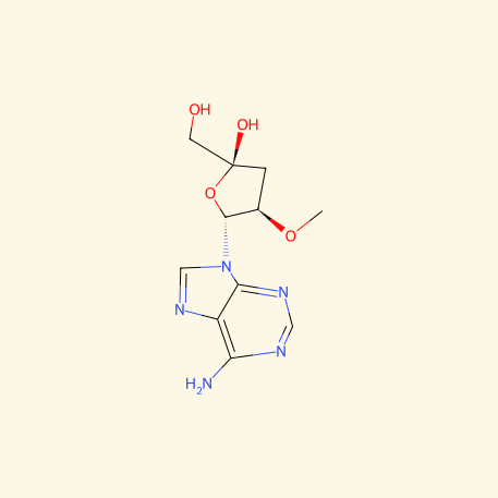 CO[C@@H]1C[C@@](O)(CO)O[C@H]1n1cnc2c(N)ncnc21